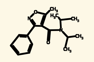 Cc1onc(-c2ccccc2)c1C(=O)N(C(C)C)C(C)C